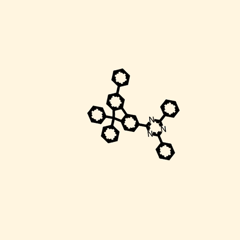 c1ccc(-c2ccc3c(c2)-c2cc(-c4nc(-c5ccccc5)nc(-c5ccccc5)n4)ccc2C3(c2ccccc2)c2ccccc2)cc1